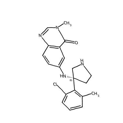 Cc1cccc(Cl)c1[C@]1(Nc2ccc3ncn(C)c(=O)c3c2)CCNC1